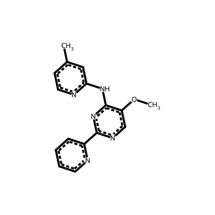 COc1cnc(-c2ccccn2)nc1Nc1cc(C)ccn1